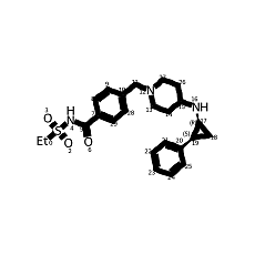 CCS(=O)(=O)NC(=O)c1ccc(CN2CCC(N[C@@H]3C[C@H]3c3ccccc3)CC2)cc1